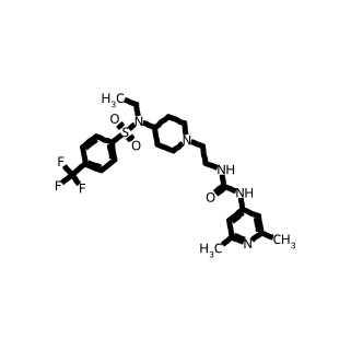 CCN(C1CCN(CCNC(=O)Nc2cc(C)nc(C)c2)CC1)S(=O)(=O)c1ccc(C(F)(F)F)cc1